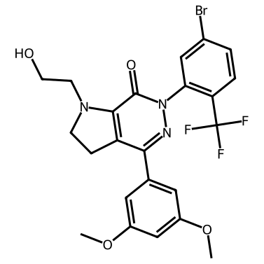 COc1cc(OC)cc(-c2nn(-c3cc(Br)ccc3C(F)(F)F)c(=O)c3c2CCN3CCO)c1